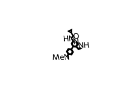 CNc1ccc(-c2cc(NC(=O)C3CC3)nc3[nH]ccc23)cc1